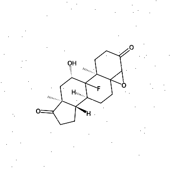 C[C@]12CCC(=O)C3OC31CC[C@H]1[C@@H]3CCC(=O)[C@@]3(C)C[C@H](O)C12F